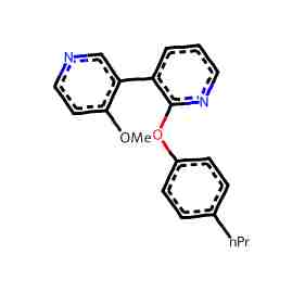 CCCc1ccc(Oc2ncccc2-c2cnccc2OC)cc1